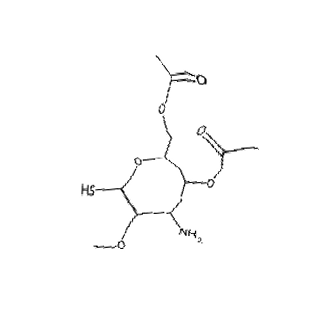 COC1C(S)OC(COC(C)=O)C(OC(C)=O)C1N